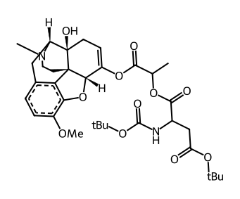 COc1ccc2c3c1O[C@H]1C(OC(=O)C(C)OC(=O)C(CC(=O)OC(C)(C)C)NC(=O)OC(C)(C)C)=CC[C@@]4(O)[C@@H](C2)N(C)CC[C@]314